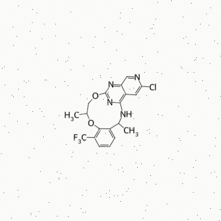 CC1COc2nc(c3cc(Cl)ncc3n2)NC(C)c2cccc(C(F)(F)F)c2O1